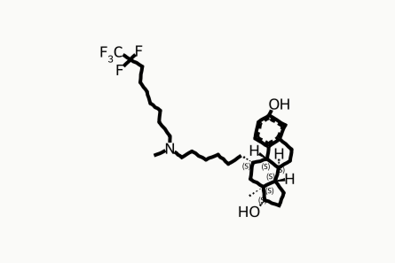 CN(CCCCCCCC(F)(F)C(F)(F)F)CCCCCC[C@H]1C[C@]2(C)[C@@H](O)CC[C@H]2[C@@H]2CCc3cc(O)ccc3[C@@H]12